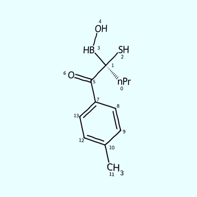 CCC[C@@](S)(BO)C(=O)c1ccc(C)cc1